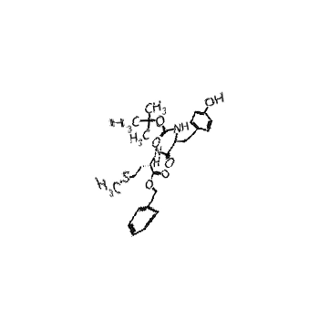 CSCC[C@H](NC(=O)[C@H](Cc1ccc(O)cc1)NC(=O)OC(C)(C)C)C(=O)OCc1ccccc1